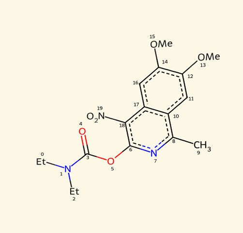 CCN(CC)C(=O)Oc1nc(C)c2cc(OC)c(OC)cc2c1[N+](=O)[O-]